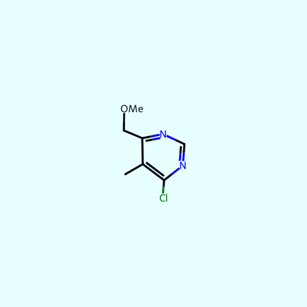 COCc1ncnc(Cl)c1C